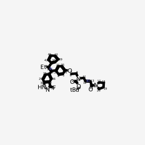 CC/C(=C(/c1ccc(OCCN(C/C=C/C(=O)N2CCCC2)C(=O)OC(C)(C)C)cc1)c1ccc2[nH]nc(F)c2c1)c1ccccc1